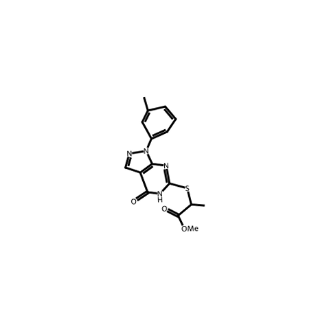 COC(=O)C(C)Sc1nc2c(cnn2-c2cccc(C)c2)c(=O)[nH]1